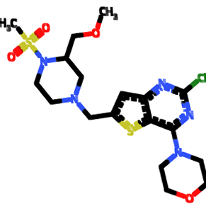 COCC1CN(Cc2cc3nc(Cl)nc(N4CCOCC4)c3s2)CCN1S(C)(=O)=O